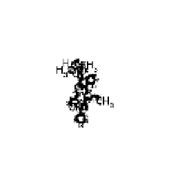 C=C/C=C(\C=C/C)c1nc(-c2ccccc2)nn1C(/C=C/c1ccc(B2OC(C)(C)C(C)(C)O2)c2ccccc12)=C/C=C\C